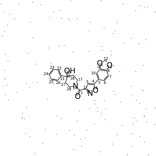 O=C(c1cc(-c2ccc3c(c2)OCO3)on1)N1CCC(O)(c2ccccc2)CC1